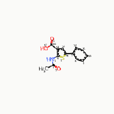 CC(=O)Nc1sc(-c2ccccc2)cc1C(=O)O